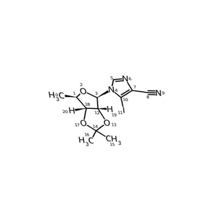 C[C@H]1O[C@@H](n2cnc(C#N)c2I)[C@@H]2OC(C)(C)O[C@@H]21